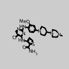 COc1cc(N2CCC(N3CCN(C)CC3)CC2)ccc1Nc1ncc(Cl)c(Nc2ccsc2C(N)=O)n1